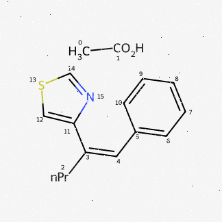 CC(=O)O.CCCC(=Cc1ccccc1)c1cscn1